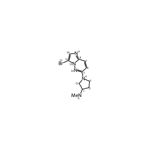 CNC1CCN(c2ccc3ncc(Br)n3n2)C1